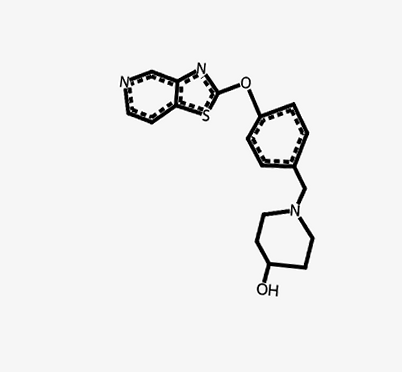 OC1CCN(Cc2ccc(Oc3nc4cnccc4s3)cc2)CC1